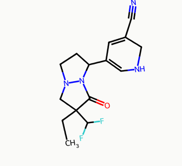 CCC1(C(F)F)CN2CCC(C3=CNCC(C#N)=C3)N2C1=O